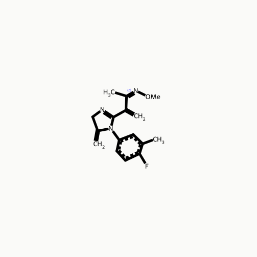 C=C(C1=NCC(=C)N1c1ccc(F)c(C)c1)/C(C)=N\OC